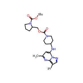 Cc1cc(NC2CCN(C(=O)OCC3CCCN3C(=O)OC(C)(C)C)CC2)n2ncc(C(C)C)c2n1